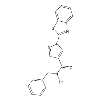 CCN(Cc1ccccc1)C(=O)c1cnn(-c2nc3ccccc3s2)c1